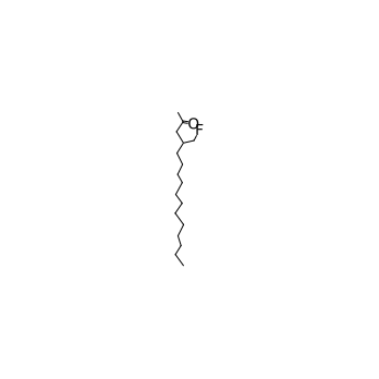 CCCCCCCCCCCCC(CF)CC(C)=O